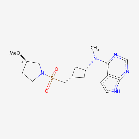 CO[C@@H]1CCN(S(=O)(=O)C[C@H]2C[C@@H](N(C)c3ncnc4[nH]ccc34)C2)C1